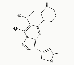 CC(O)c1c(C2CCCNC2)nc2c(C3=CN(C)NC3)cnn2c1N